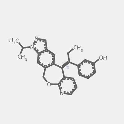 CC/C(=C1\c2cc3cnn(C(C)C)c3cc2COc2ncccc21)c1cccc(O)c1